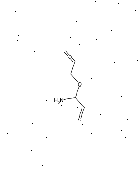 C=CCOC(N)C=C